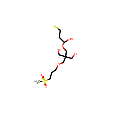 CS(=O)(=O)CCCOCC(CO)(CO)COC(O)CCS